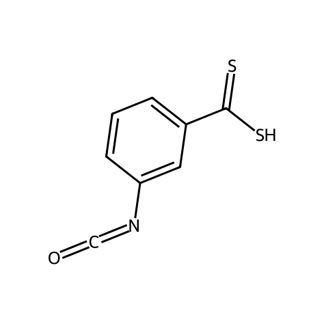 O=C=Nc1cccc(C(=S)S)c1